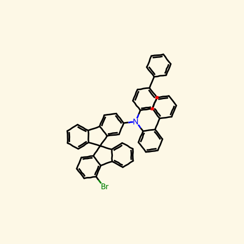 Brc1cccc2c1-c1ccccc1C21c2ccccc2-c2ccc(N(c3ccc(-c4ccccc4)cc3)c3ccccc3-c3ccccc3)cc21